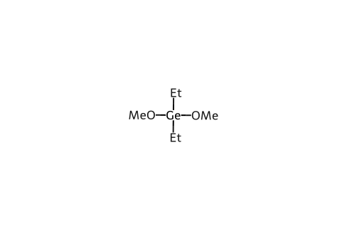 C[CH2][Ge]([CH2]C)([O]C)[O]C